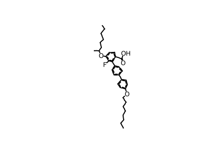 CCCCCCCCOc1ccc(-c2ccc(-c3c(C(=O)O)ccc(OC(C)CCCCCC)c3F)cc2)cc1